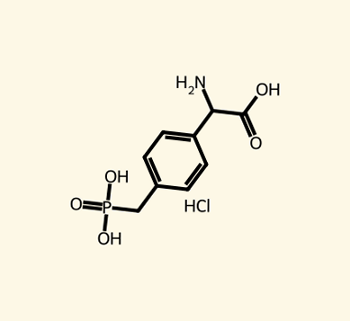 Cl.NC(C(=O)O)c1ccc(CP(=O)(O)O)cc1